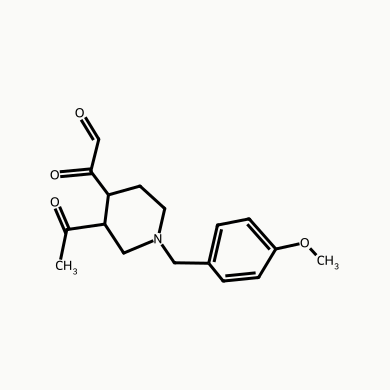 COc1ccc(CN2CCC(C(=O)C=O)C(C(C)=O)C2)cc1